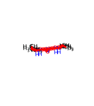 CC(C)CCC[C@H](C)[C@@H]1CC[C@@H]2[C@H]3CC=C4C[C@H](OC(=O)NCCOCCNC(=O)CCOCCOCCOCCOCCN(CCOCCOCCOCCOCCC(=O)NCCOCCNC(=O)O[C@@H]5CC[C@]6(C)C(=CC[C@@H]7[C@H]8CC[C@@H]([C@@H](C)CCCC(C)C)[C@]8(C)CC[C@H]76)C5)C(=O)CCN5C(=O)C=CC5=O)CC[C@@]4(C)[C@@H]3CC[C@]21C